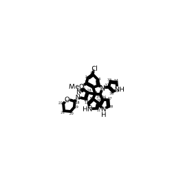 COc1cc(Cl)cc2c1C(c1cc[nH]c1)(c1cnn(C3CCCCO3)c1)C(c1cc[nH]c1)N2c1cc[nH]c1